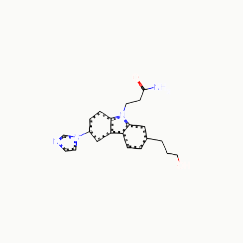 NC(=O)CCn1c2ccc(-n3ccnc3)cc2c2ccc(CCCO)cc21